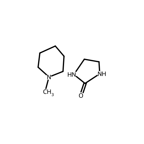 CN1CCCCC1.O=C1NCCN1